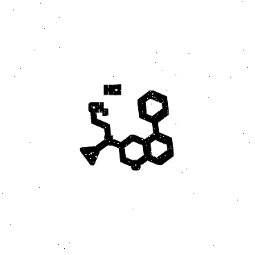 CCCN(C1CC1)C1COc2cccc(-c3ccccc3)c2C1.Cl